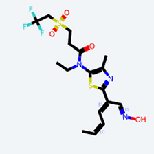 C\C=C/C=C(\C=N\O)c1nc(C)c(N(CC)C(=O)CCS(=O)(=O)CC(F)(F)F)s1